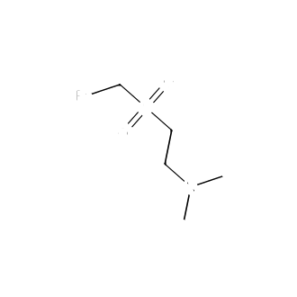 CC(C)CS(=O)(=O)CCN(C)C